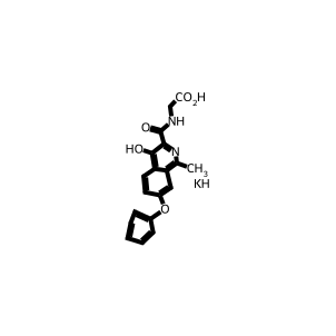 Cc1nc(C(=O)NCC(=O)O)c(O)c2ccc(Oc3ccccc3)cc12.[KH]